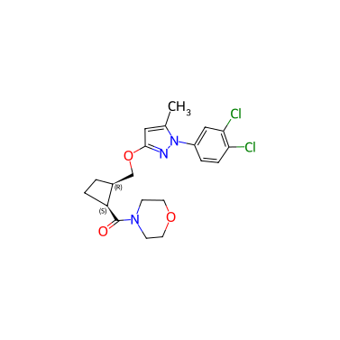 Cc1cc(OC[C@@H]2CC[C@@H]2C(=O)N2CCOCC2)nn1-c1ccc(Cl)c(Cl)c1